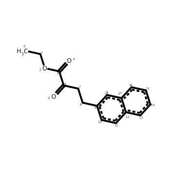 CCOC(=O)C(=O)CCc1ccc2ccccc2c1